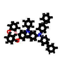 c1ccc(-c2ccc(N(c3ccc(-c4ccccc4)cc3)c3ccc4c5cc6c(cc5n(-c5ccccc5)c4c3)B3c4ccccc4Oc4cccc(c43)O6)cc2)cc1